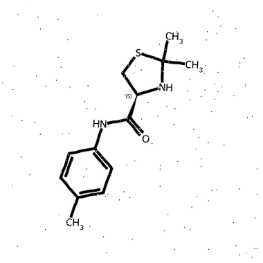 Cc1ccc(NC(=O)[C@H]2CSC(C)(C)N2)cc1